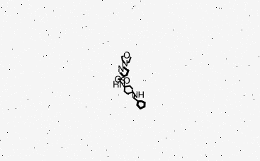 O=S(=O)(N[C@H]1CC[C@H](NCc2ccccc2)CC1)c1ccc(N2CCOCC2)nc1